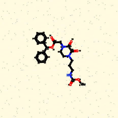 CC(C)(C)OC(=O)NCCCN1CCN(CC(=O)OC(c2ccccc2)c2ccccc2)C(=O)C1=O